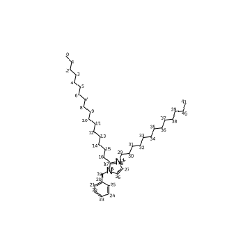 CCCCCCCCCCCCCCCCCc1n(Cc2ccccc2)cc[n+]1CCCCCCCCCCCCC